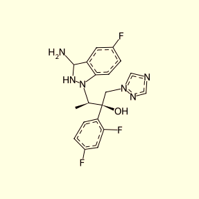 C[C@@H](N1NC(N)c2cc(F)ccc21)[C@](O)(Cn1cncn1)c1ccc(F)cc1F